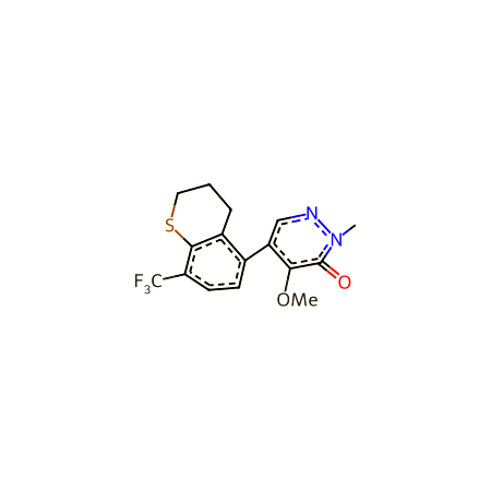 COc1c(-c2ccc(C(F)(F)F)c3c2CCCS3)cnn(C)c1=O